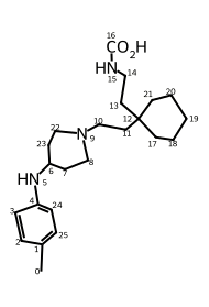 Cc1ccc(NC2CCN(CCC3(CCNC(=O)O)CCCCC3)CC2)cc1